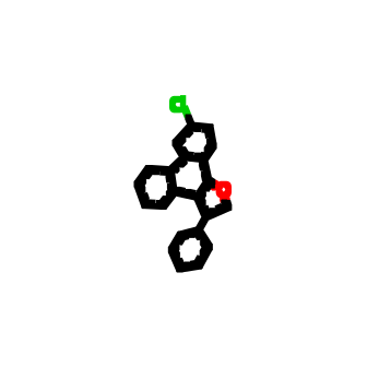 Clc1ccc2c(c1)c1ccccc1c1c(-c3ccccc3)coc21